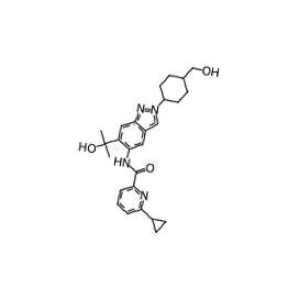 CC(C)(O)c1cc2nn(C3CCC(CO)CC3)cc2cc1NC(=O)c1cccc(C2CC2)n1